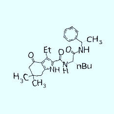 CCCC[C@H](NC(=O)c1[nH]c2c(c1CC)C(=O)CC(C)(C)C2)C(=O)N[C@@H](C)c1ccccc1